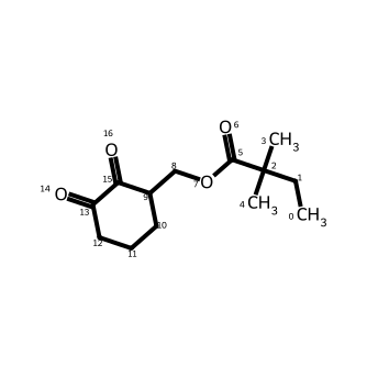 CCC(C)(C)C(=O)OCC1CCCC(=O)C1=O